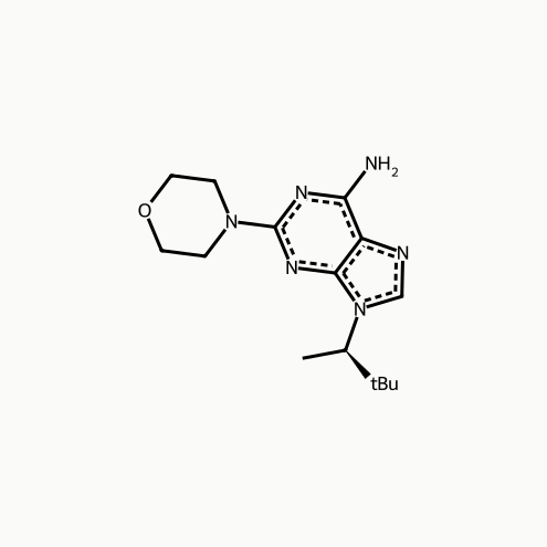 C[C@@H](n1cnc2c(N)nc(N3CCOCC3)nc21)C(C)(C)C